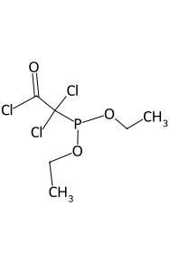 CCOP(OCC)C(Cl)(Cl)C(=O)Cl